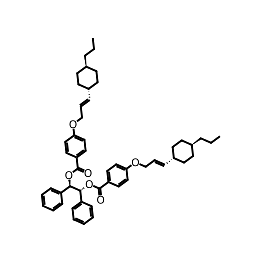 CCC[C@H]1CC[C@H](/C=C/COc2ccc(C(=O)O[C@H](c3ccccc3)[C@H](OC(=O)c3ccc(OC/C=C/[C@H]4CC[C@H](CCC)CC4)cc3)c3ccccc3)cc2)CC1